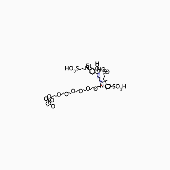 C/C=C(/C=C/C=C1/N(CCOCCOCCOCCOCCOCCOCCC(=O)ON2C(=O)CCC2=O)c2ccc(S(=O)(=O)O)cc2C1(C)CCCS(=O)O)c1ccc(N(CC)CCCS(=O)(=O)O)cc1O